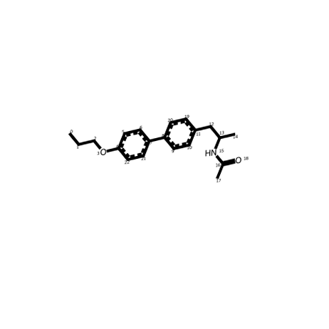 CCCOc1ccc(-c2ccc(CC(C)NC(C)=O)cc2)cc1